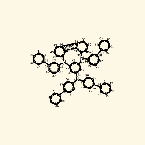 c1ccc(-c2ccc(N(c3ccc(-c4ccccc4)cc3)c3cc4cc(c3)N(c3cccc(-c5ccccc5)c3)c3cccc5c3sc3c(cccc35)N4c3cccc(-c4ccccc4)c3)cc2)cc1